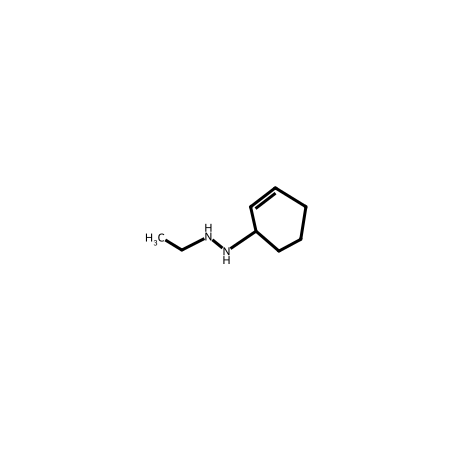 CCNNC1C=CCCC1